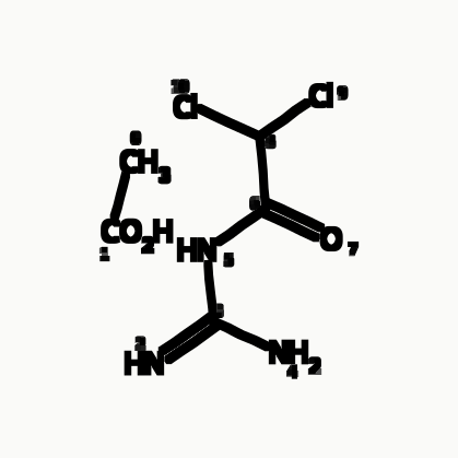 CC(=O)O.N=C(N)NC(=O)C(Cl)Cl